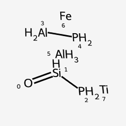 O=[SiH]P.[AlH2][PH2].[AlH3].[Fe].[Ti]